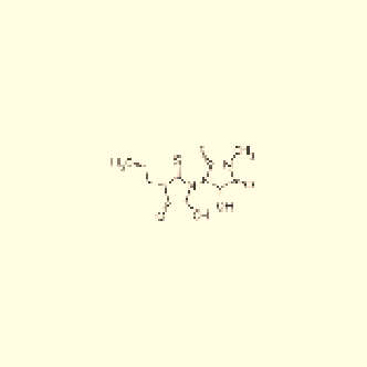 C=CCN1C(=O)C(O)N(N2C(=S)N(C)C(=O)C2O)C1=S